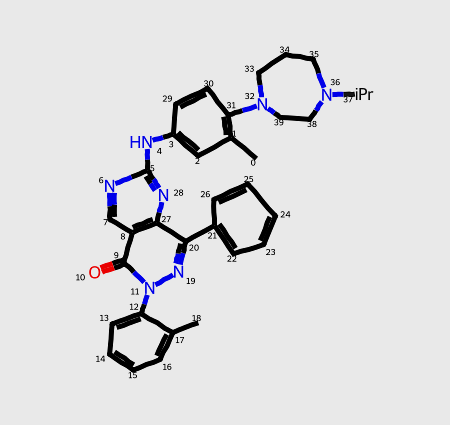 Cc1cc(Nc2ncc3c(=O)n(-c4ccccc4C)nc(-c4ccccc4)c3n2)ccc1N1CCCN(C(C)C)CC1